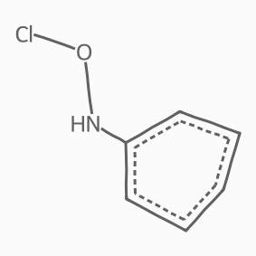 ClONc1ccccc1